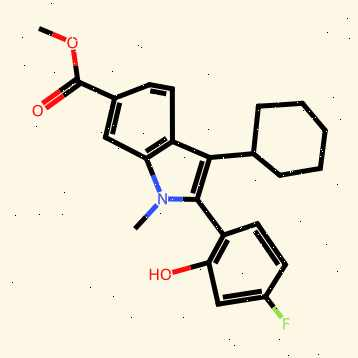 COC(=O)c1ccc2c(C3CCCCC3)c(-c3ccc(F)cc3O)n(C)c2c1